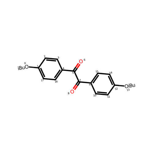 CC(C)COc1ccc(C(=O)C(=O)c2ccc(OCC(C)C)cc2)cc1